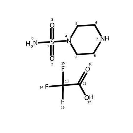 NS(=O)(=O)N1CCNCC1.O=C(O)C(F)(F)F